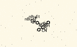 CCCCC(CC)CN(CC(CC)CCCC)C(=O)c1ccc(/N=N/c2c(-c3ccccc3)c(C#N)c(=O)n(NC(=O)c3ccccc3)c2O)cc1